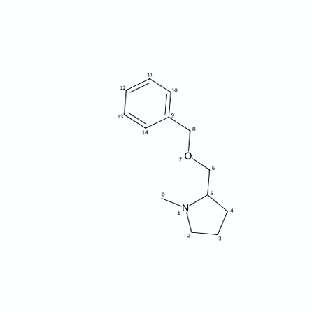 CN1CCCC1COCc1ccccc1